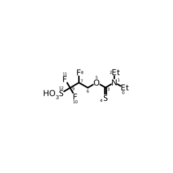 CCN(CC)C(=S)OCC(F)C(F)(F)S(=O)(=O)O